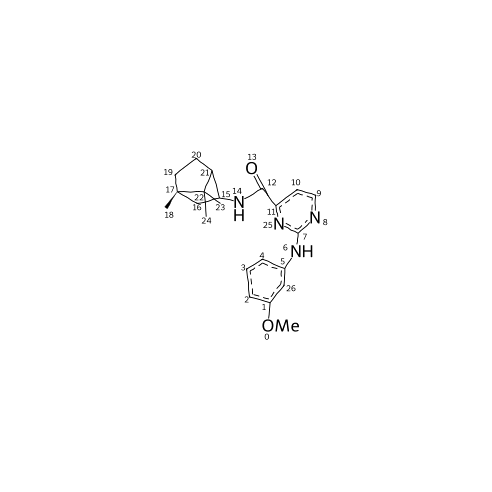 COc1cccc(Nc2nccc(C(=O)NC3C[C@]4(C)CCC3C4(C)C)n2)c1